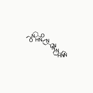 C=CC(=O)N1CCCC(C(=O)Nc2ccc(-c3cnn(-c4cccc(-c5ccn[nH]5)n4)c3)nc2)C1